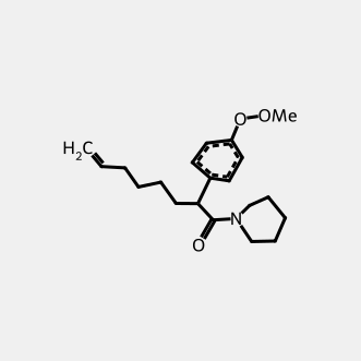 C=CCCCCC(C(=O)N1CCCCC1)c1ccc(OOC)cc1